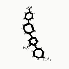 CC1=CC=C(c2ccc(C3=CCC=C(C4CCC(S)CC4)C=C3)cc2C)C=CC1